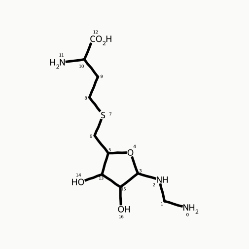 NCNC1OC(CSCCC(N)C(=O)O)C(O)C1O